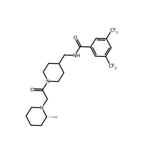 C[C@@H]1CCCCN1CC(=O)N1CCC(CNC(=O)c2cc(C(F)(F)F)cc(C(F)(F)F)c2)CC1